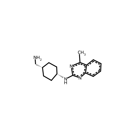 Cc1nc(N[C@H]2CC[C@@H](CN)CC2)nc2ccccc12